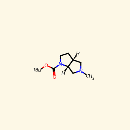 CN1C[C@H]2CCN(C(=O)OC(C)(C)C)[C@H]2C1